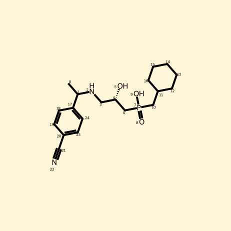 CC(NC[C@H](O)CP(=O)(O)CC1CCCCC1)c1ccc(C#N)cc1